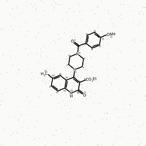 CCOC(=O)c1c(N2CCN(C(=O)c3ccc(OC)cc3)CC2)c2cc(C)ccc2[nH]c1=O